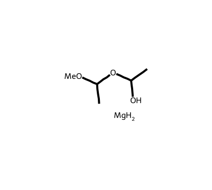 COC(C)OC(C)O.[MgH2]